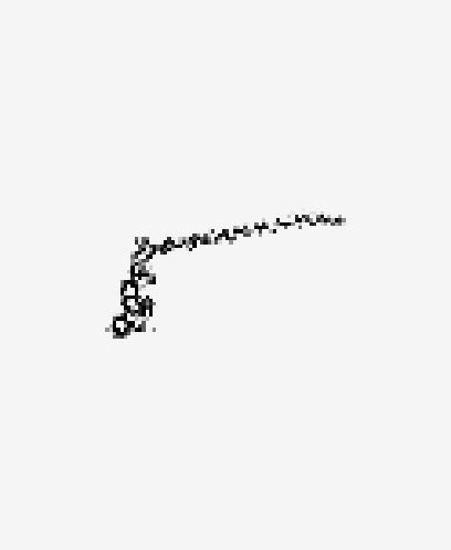 COCCOCCOCCOCCOCCOCCOCCOCCOC(C[C@H]1CN(c2ccc3cc(-c4ccccc4C(F)(F)F)[nH]c(=O)c3c2)C(=O)O1)C(=O)O